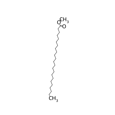 CCCCCCCCCCCCCCCCCCCCCCC(=O)OC